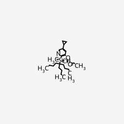 CCCCC(CCCC)(CCCC)[Si](C)(C)c1ncc(C2CC2)cc1OCOCC